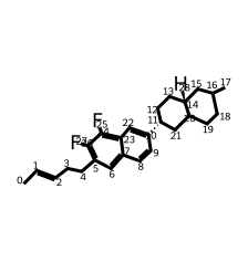 C/C=C/CCc1cc2ccc([C@@H]3CC[C@@H]4CC(C)CCC4C3)cc2c(F)c1F